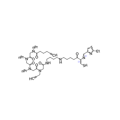 C#CCCCC(=O)N(CCC)CC(=O)N(CCC)CC(=O)N(CCC)CC(=O)N(CC#C)CC(=O)NCCCCNCCCCC(=O)C(=C/S)/N=C/c1csc(CC)n1